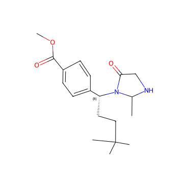 COC(=O)c1ccc([C@@H](CCC(C)(C)C)N2C(=O)CNC2C)cc1